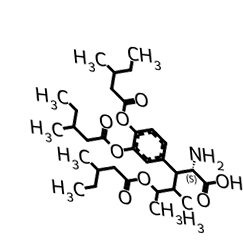 CCC(C)CC(=O)Oc1ccc(C(C(C)C(C)OC(=O)CC(C)CC)[C@H](N)C(=O)O)cc1OC(=O)CC(C)CC